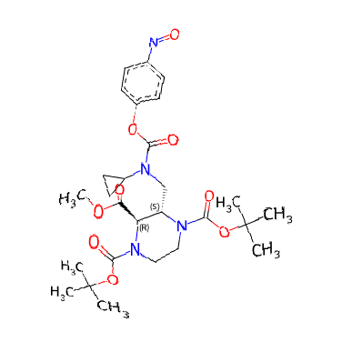 COC(=O)[C@H]1[C@H](CN(C(=O)Oc2ccc(N=O)cc2)C2CC2)N(C(=O)OC(C)(C)C)CCN1C(=O)OC(C)(C)C